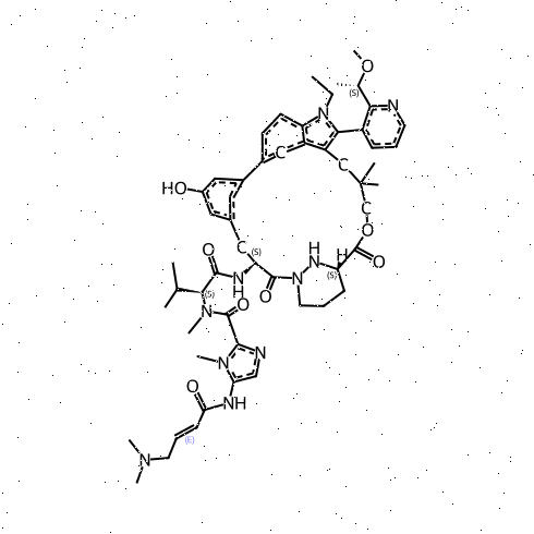 CCn1c(-c2cccnc2[C@H](C)OC)c2c3cc(ccc31)-c1cc(O)cc(c1)C[C@H](NC(=O)[C@H](C(C)C)N(C)C(=O)c1ncc(NC(=O)/C=C/CN(C)C)n1C)C(=O)N1CCC[C@H](N1)C(=O)OCC(C)(C)C2